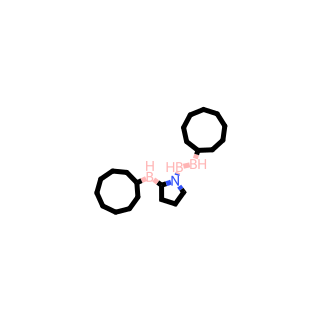 B(BN1CCCC1BC1CCCCCCCC1)C1CCCCCCCC1